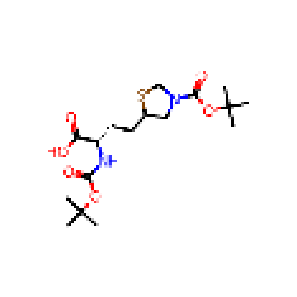 CC(C)(C)OC(=O)N[C@@H](CCC1CN(C(=O)OC(C)(C)C)CS1)C(=O)O